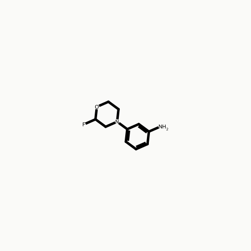 Nc1cccc(N2CCOC(F)C2)c1